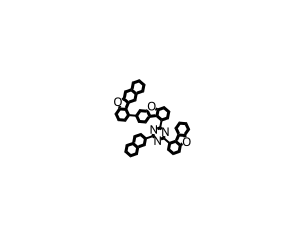 c1ccc2cc(-c3nc(-c4cccc5oc6ccccc6c45)nc(-c4cccc5oc6cc(-c7cccc8oc9cc%10ccccc%10cc9c78)ccc6c45)n3)ccc2c1